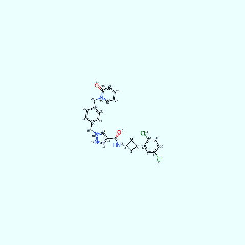 O=C(N[C@H]1C[C@@H](c2cc(Cl)ccc2Cl)C1)c1cnn(Cc2ccc(Cn3ccccc3=O)cc2)c1